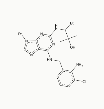 CCC(Nc1nc(NCc2cccc(Cl)c2N)c2ncn(CC)c2n1)C(C)(C)O